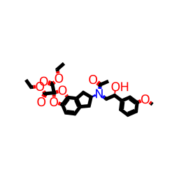 CCOC(=O)C1(C(=O)OCC)Oc2ccc3c(c2O1)C[C@@H](N(C[C@H](O)c1cccc(OC)c1)C(C)=O)C3